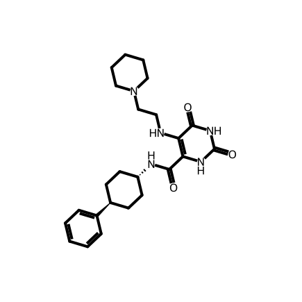 O=C(N[C@H]1CC[C@H](c2ccccc2)CC1)c1[nH]c(=O)[nH]c(=O)c1NCCN1CCCCC1